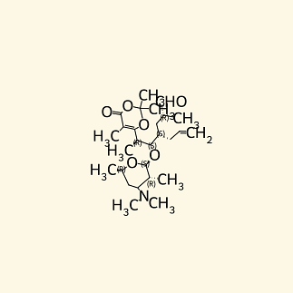 C=CC[C@@H](C[C@@H](C)C=O)[C@H](O[C@@H]1O[C@H](C)CC(N(C)C)[C@H]1C)[C@@H](C)C1=C(C)C(=O)OC(C)(C)O1